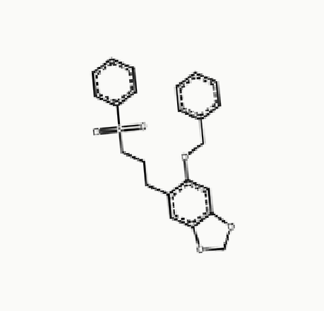 O=S(=O)(CCCc1cc2c(cc1OCc1ccccc1)OCO2)c1ccccc1